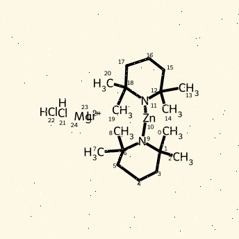 CC1(C)CCCC(C)(C)[N]1[Zn][N]1C(C)(C)CCCC1(C)C.Cl.Cl.[Li+].[Mg+2]